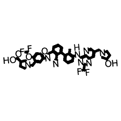 Cc1c(Nc2nc(C(F)F)nc3cc(CN4CCC(O)C4)cnc23)cccc1-c1cccc(-c2nc3cc(CN4CCC(C(=O)O)C4)c(OC(F)F)cc3o2)c1C#N